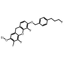 CCOc1cc2c(c(F)c1F)Oc1c(ccc(OCc3ccc(CCCF)cc3)c1F)C2